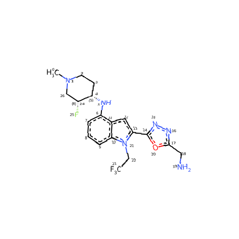 CN1CC[C@H](Nc2cccc3c2cc(-c2nnc(CN)o2)n3CC(F)(F)F)[C@H](F)C1